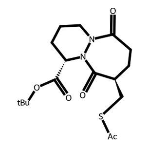 CC(=O)SC[C@@H]1CCC(=O)N2CCC[C@@H](C(=O)OC(C)(C)C)N2C1=O